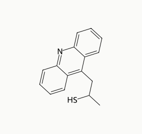 CC(S)Cc1c2ccccc2nc2ccccc12